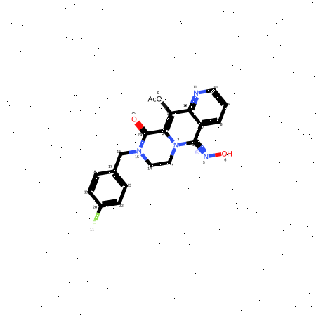 CC(=O)Oc1c2n(/c(=N/O)c3cccnc13)CCN(Cc1ccc(F)cc1)C2=O